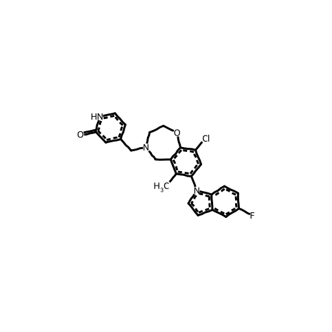 Cc1c(-n2ccc3cc(F)ccc32)cc(Cl)c2c1CN(Cc1cc[nH]c(=O)c1)CCO2